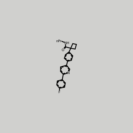 CCCNC(=O)C1(c2ccc(-c3ccc(-c4ccc(F)cc4)nc3)cc2)CCC1